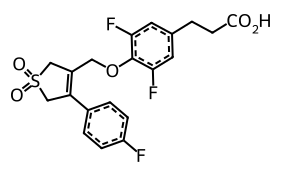 O=C(O)CCc1cc(F)c(OCC2=C(c3ccc(F)cc3)CS(=O)(=O)C2)c(F)c1